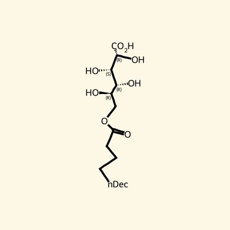 CCCCCCCCCCCCCC(=O)OC[C@@H](O)[C@@H](O)[C@H](O)[C@@H](O)C(=O)O